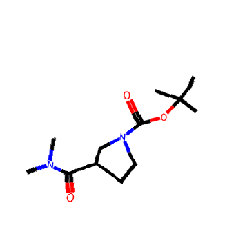 CN(C)C(=O)C1CCN(C(=O)OC(C)(C)C)C1